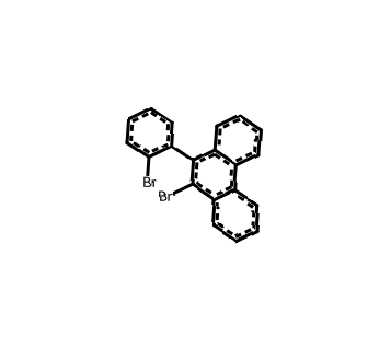 Brc1ccccc1-c1c(Br)c2ccccc2c2ccccc12